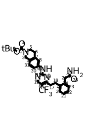 CC(C)(C)OC(=O)N1CCc2cc(Nc3ncc(C(F)(F)F)c(CCc4ccccc4CC(N)=O)n3)ccc2C1